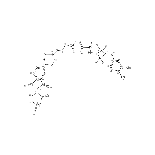 CC1(C)C(NC(=O)c2ccc(CCCN3CCN(c4ccc5c(c4)C(=O)N(C4CCC(=O)NC4=O)C5=O)CC3)cn2)C(C)(C)C1Oc1ccc(C#N)c(Cl)c1